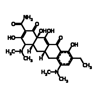 CCc1cc(N(C)C)c2c(c1O)C(=O)C1=C(O)[C@@]3(O)C(=O)C(C(N)=O)=C(O)C(N(C)C)[C@H]3C[C@H]1C2